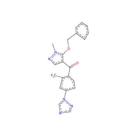 Cn1ncc(C(=O)c2ccc(-n3cncn3)cc2C(F)(F)F)c1OCc1ccccc1